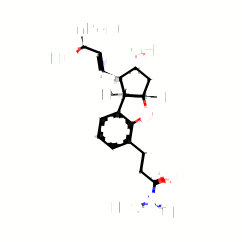 CCCCC[C@H](O)/C=C/[C@@H]1[C@H]2c3cccc(CCC(=O)N(C)C)c3O[C@H]2C[C@H]1O